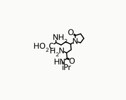 CC(C)NC(=O)C(N)CC(CCC(N)C(=O)O)N1CCCC1=O